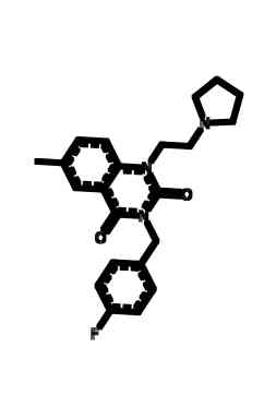 Cc1ccc2c(c1)c(=O)n(Cc1ccc(F)cc1)c(=O)n2CCN1CCCC1